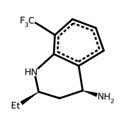 CC[C@@H]1C[C@H](N)c2cccc(C(F)(F)F)c2N1